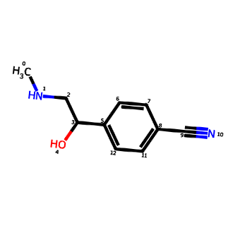 CNCC(O)c1ccc(C#N)cc1